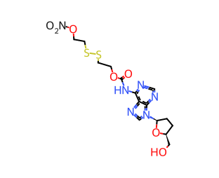 O=C(Nc1ncnc2c1ncn2[C@H]1CC[C@@H](CO)O1)OCCSSCCO[N+](=O)[O-]